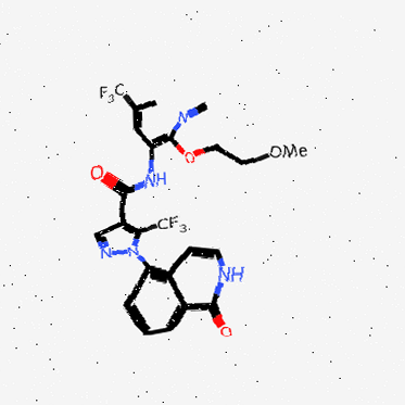 C=N/C(OCCOC)=C(\C=C(/C)C(F)(F)F)NC(=O)c1cnn(-c2cccc3c(=O)[nH]ccc23)c1C(F)(F)F